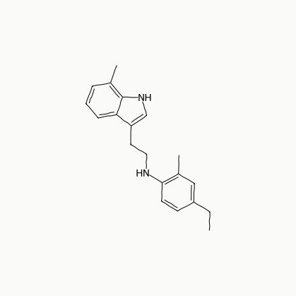 CCc1ccc(NCCc2c[nH]c3c(C)cccc23)c(C)c1